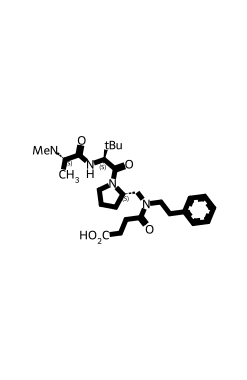 CN[C@@H](C)C(=O)N[C@H](C(=O)N1CCC[C@H]1CN(CCc1ccccc1)C(=O)CCC(=O)O)C(C)(C)C